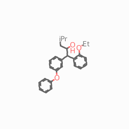 CCOc1ccccc1C(c1cccc(Oc2ccccc2)c1)C(O)CC(C)C